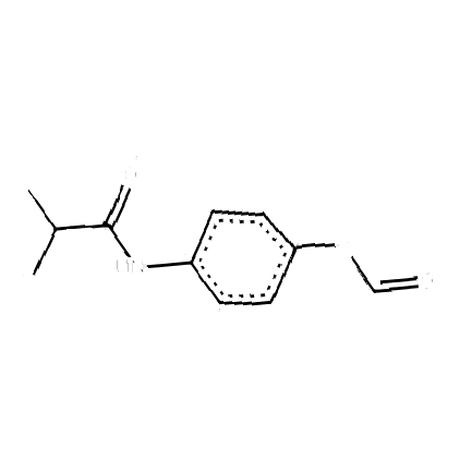 CC(C)C(=O)Nc1ccc(O[C]=O)cc1